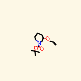 C=CCO[C@@H]1CCCCN(C(=O)OC(C)(C)C)C1